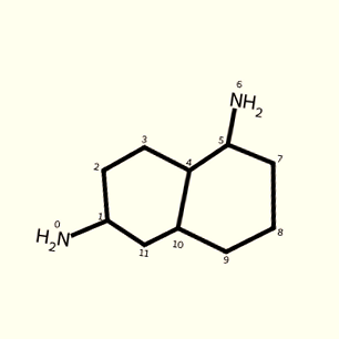 NC1CCC2C(N)CCCC2C1